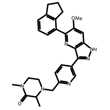 COc1cc2[nH]nc(-c3ccc(CN4CCN(C)C(=O)C4C)nc3)c2nc1-c1cccc2c1CCC2